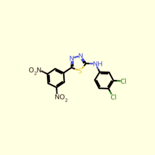 O=[N+]([O-])c1cc(-c2nnc(Nc3ccc(Cl)c(Cl)c3)s2)cc([N+](=O)[O-])c1